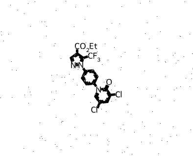 CCOC(=O)c1cnn(-c2ccc(-n3cc(Cl)cc(Cl)c3=O)cc2)c1C(F)(F)F